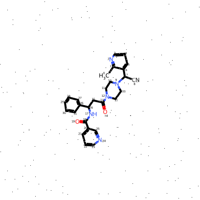 Cc1ncccc1C(C#N)N1CCN(C(=O)CC(NC(=O)c2cccnc2)c2ccccc2)CC1